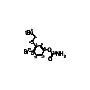 CC(C)(C)CSc1cc(OC(N)=O)ccc1Br